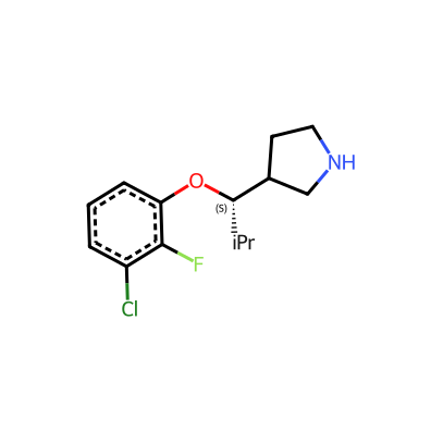 CC(C)[C@H](Oc1cccc(Cl)c1F)C1CCNC1